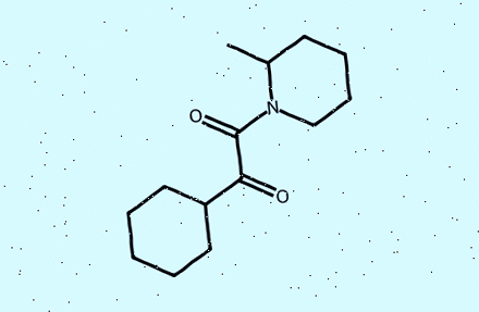 CC1CCCCN1C(=O)C(=O)C1CCCCC1